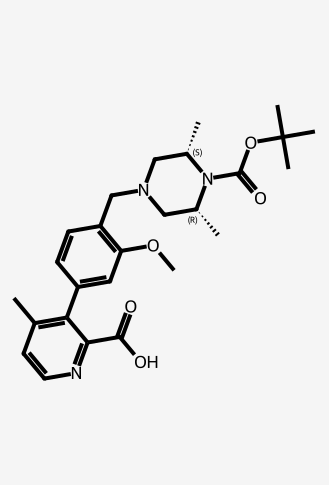 COc1cc(-c2c(C)ccnc2C(=O)O)ccc1CN1C[C@@H](C)N(C(=O)OC(C)(C)C)[C@@H](C)C1